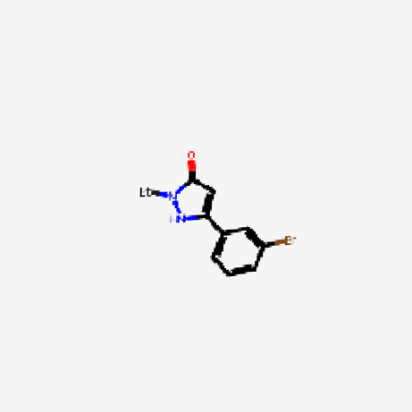 CCn1[nH]c(-c2cccc(Br)c2)cc1=O